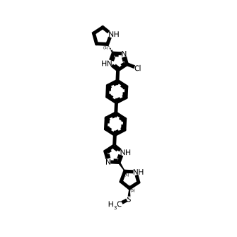 CS[C@@H]1CN[C@H](c2ncc(-c3ccc(-c4ccc(-c5[nH]c([C@@H]6CCCN6)nc5Cl)cc4)cc3)[nH]2)C1